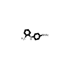 CC(=O)Nc1ccc(Nc2ccccc2C)cc1